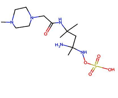 CN1CCN(CC(=O)NC(C)(C)CC(C)(N)NOS(=O)(=O)O)CC1